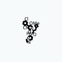 COc1cn(C(CC2CCC2)C(=O)Nc2ccc3nccn3c2)c(=O)cc1-c1cc(Cl)ccc1C#N